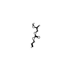 C=CCOC(=O)OCC(C)OC